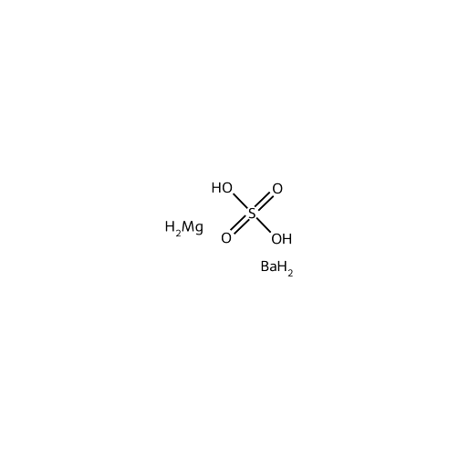 O=S(=O)(O)O.[BaH2].[MgH2]